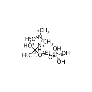 CCOC(C)(N)O.CN(C)C.O=P(O)(O)O